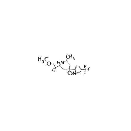 COCC1(C2CC(O)(c3ccc(C(F)(F)F)cc3)C[C@H](C)N2)CC1